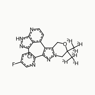 [2H]C([2H])([2H])C1(C([2H])([2H])[2H])Cn2nc(-c3ccc(F)cn3)c(-c3ccnc4[nH]nc(Cl)c34)c2CO1